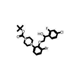 CC(C)(C)OC(=O)N1CCN(c2cccc(Br)c2OCC(O)c2ccc(Cl)cc2F)CC1